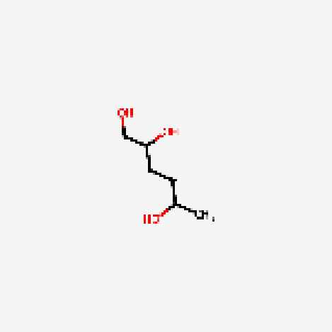 CC(O)[CH]CC(O)CO